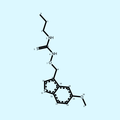 CCCNC(=S)NOCc1csc2ccc(OC)cc12